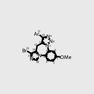 COc1ccc2c(c1)-n1nnc(C(C)=O)c1Cc1c(Br)ncn1-2